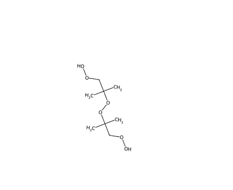 CC(C)(COO)OOC(C)(C)COO